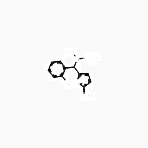 COc1ccc(C(c2ccccc2Br)N(C(=O)O)C(C)(C)C)o1